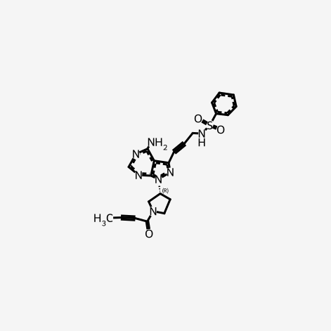 CC#CC(=O)N1CC[C@@H](n2nc(C#CCNS(=O)(=O)c3ccccc3)c3c(N)ncnc32)C1